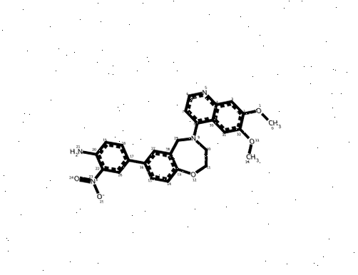 COc1cc2nccc(N3CCOc4ccc(-c5ccc(N)c([N+](=O)[O-])c5)cc4C3)c2cc1OC